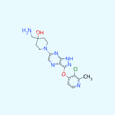 Cc1nccc(Oc2n[nH]c3nc(N4CCC(O)(CN)CC4)cnc23)c1Cl